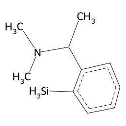 CC(c1ccccc1[SiH3])N(C)C